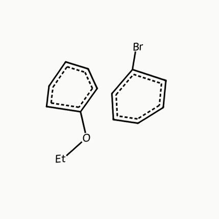 Brc1ccccc1.CCOc1ccccc1